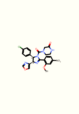 CC(C)Oc1cc([N+](=O)[O-])ccc1C1=N[C@@H](c2cocn2)[C@@H](c2ccc(Cl)cc2)N1C(=O)N1CCNC(=O)C1